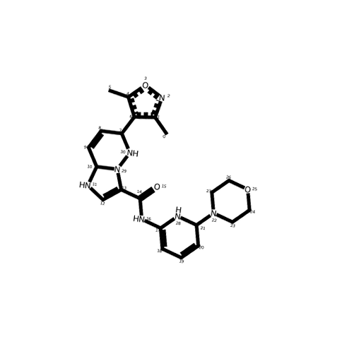 Cc1noc(C)c1C1C=CC2NC=C(C(=O)NC3=CC=CC(N4CCOCC4)N3)N2N1